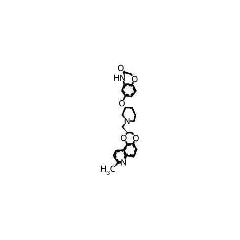 Cc1ccc2c3c(ccc2n1)OC[C@H](CN1CCC[C@@H](Oc2ccc4c(c2)NC(=O)CO4)C1)O3